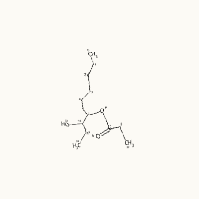 CCCCCC(OC(=O)CC)C(O)CC